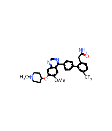 COc1cc2c(-c3ccc(-c4cc(C(F)(F)F)ccc4CC(N)=O)cc3)ncnc2cc1OC1CCN(C)CC1